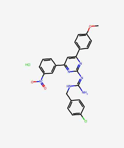 COc1ccc(-c2cc(-c3cccc([N+](=O)[O-])c3)nc(N=C(N)NCc3ccc(Cl)cc3)n2)cc1.Cl